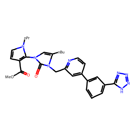 CCCCc1cn(-c2c(C(=O)OC)ccn2CCC)c(=O)n1Cc1cc(-c2cccc(-c3nnn[nH]3)c2)ccn1